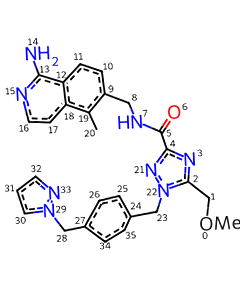 COCc1nc(C(=O)NCc2ccc3c(N)nccc3c2C)nn1Cc1ccc(Cn2cccn2)cc1